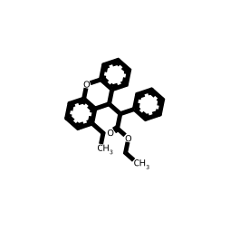 CCOC(=O)C(c1ccccc1)C1c2ccccc2Oc2cccc(CC)c21